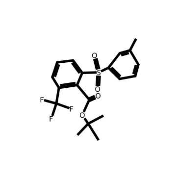 Cc1cccc(S(=O)(=O)c2cccc(C(F)(F)F)c2C(=O)OC(C)(C)C)c1